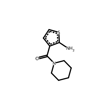 Nc1sccc1C(=O)N1CCCCC1